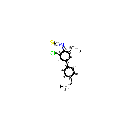 CCc1ccc(-c2cc(C)c(N=C=S)c(Cl)c2)cc1